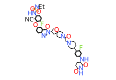 CCN(C)S(=O)(=O)Nc1ccc(F)c(Oc2ccc3ncn(C4COC5(CCN(C(=O)CN6CCCC(c7ccc(NC8CCC(=O)NC8=O)cc7F)CC6)CC5)C4)c(=O)c3c2)c1C#N